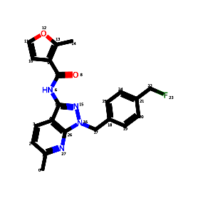 Cc1ccc2c(NC(=O)c3ccoc3C)nn(Cc3ccc(CF)cc3)c2n1